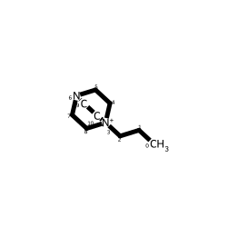 CCC[N+]12CCN(CC1)CC2